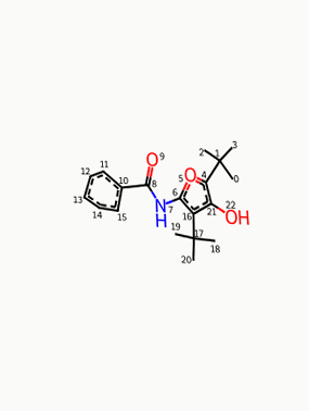 CC(C)(C)c1oc(NC(=O)c2ccccc2)c(C(C)(C)C)c1O